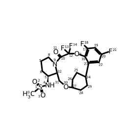 CS(=O)(=O)N[C@H]1CCCN2C(=O)C(F)(F)Oc3c(F)cc(F)cc3C3CCC(CC3)OCC12